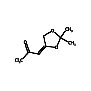 CC1(C)OCC(=CC(=O)C(Cl)(Cl)Cl)O1